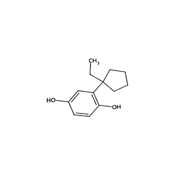 CCC1(c2cc(O)ccc2O)CCCC1